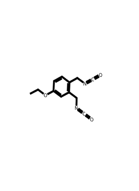 CCOc1ccc(CN=C=O)c(CN=C=O)c1